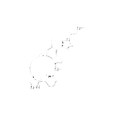 CN(C)CCn1cc(-c2cc3c(cc2F)OCCCCn2cnnc2-c2cccc(n2)NC3=O)cn1